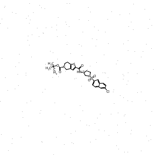 CC(C)(C)OC(=O)N1CCc2sc(C(=O)N[C@H]3CCN(S(=O)(=O)c4ccc5cc(Cl)ccc5c4)C3)cc2C1